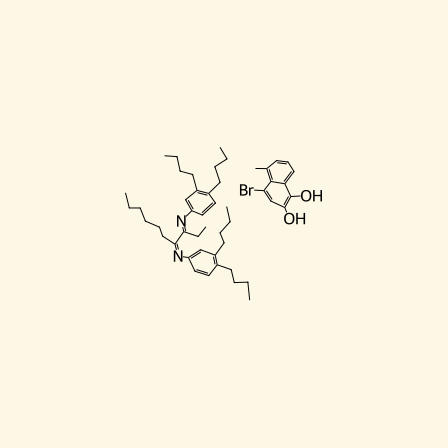 CCCCCCC(=Nc1ccc(CCCC)c(CCCC)c1)C(CC)=Nc1ccc(CCCC)c(CCCC)c1.Cc1cccc2c(O)c(O)cc(Br)c12